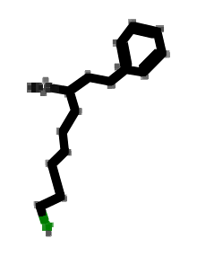 O=C(O)C(CCCCCCBr)CCc1ccccc1